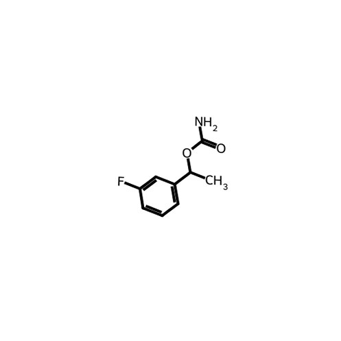 CC(OC(N)=O)c1cccc(F)c1